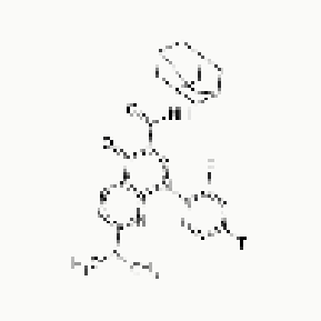 CN(C)c1ccc2c(=O)c(C(=O)NC34CC5CC(CC(C5)C3)C4)cn(-c3ccc(F)cc3F)c2n1